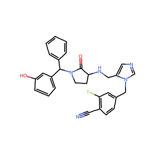 N#Cc1ccc(Cn2cncc2CNC2CCN(C(c3ccccc3)c3cccc(O)c3)C2=O)cc1F